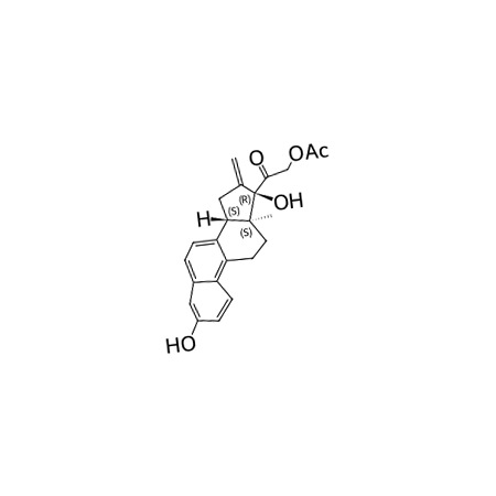 C=C1C[C@H]2c3ccc4cc(O)ccc4c3CC[C@]2(C)[C@@]1(O)C(=O)COC(C)=O